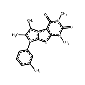 Cc1cccc(-n2c(C)c(C)n3c4c(=O)n(C)c(=O)n(C)c4nc23)c1